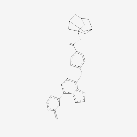 O=C(NC12CC3CC(CC(C3)C1)C2)c1ccc(Nc2ccc(-c3cc[nH]c(=O)c3)n3ccnc23)cc1